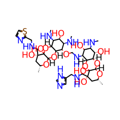 CN[C@@H]1[C@H](O)[C@H](NCO[C@H]2[C@H](NC)[C@H](O)[C@H](NC)[C@H]3O[C@]4(O)[C@H](O[C@@H]32)O[C@H](C)C[C@@]4(O)CNCc2nccs2)[C@H]2O[C@]3(O)[C@H](O[C@@H]2[C@H]1O)O[C@H](C)C[C@@]3(O)CNCc1cnc[nH]1